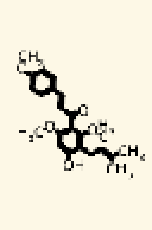 COc1ccc(C=CC(=O)c2c(OC)cc(O)c(CC=C(C)C)c2OC)cc1